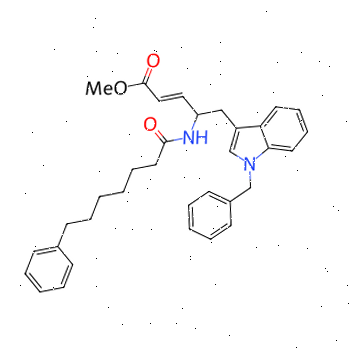 COC(=O)C=CC(Cc1cn(Cc2ccccc2)c2ccccc12)NC(=O)CCCCCCc1ccccc1